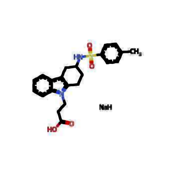 Cc1ccc(S(=O)(=O)NC2CCc3c(c4ccccc4n3CCC(=O)O)C2)cc1.[NaH]